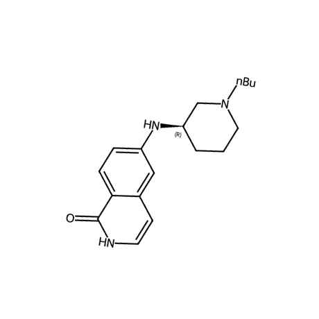 CCCCN1CCC[C@@H](Nc2ccc3c(=O)[nH]ccc3c2)C1